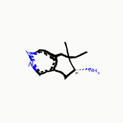 CC1(C)c2cnncc2C[C@H]1N